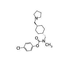 CN(C[C@H]1CC[C@H](CN2CCCC2)CC1)C(=O)Oc1ccc(Cl)cc1